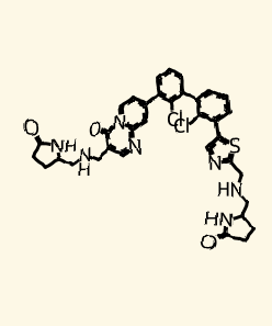 O=C1CCC(CNCc2ncc(-c3cccc(-c4cccc(-c5ccn6c(=O)c(CNCC7CCC(=O)N7)cnc6c5)c4Cl)c3Cl)s2)N1